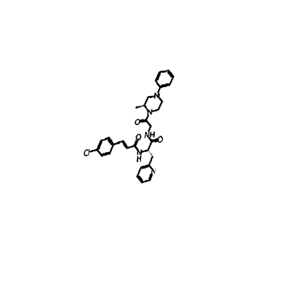 C[C@H]1CN(c2ccccc2)CCN1C(=O)CNC(=O)[C@H](Cc1ccccn1)NC(=O)/C=C/c1ccc(Cl)cc1